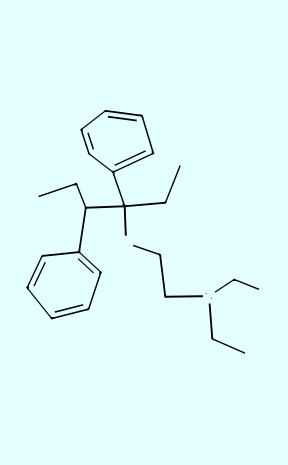 CCC(c1ccccc1)C(CC)(OCCN(CC)CC)c1ccccc1